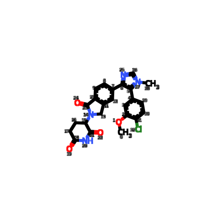 COc1cc(-c2c(-c3ccc4c(c3)CN(C3CCC(=O)NC3=O)C4=O)ncn2C)ccc1Cl